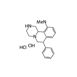 CNc1cccc2c1C1CNCCN1CC2c1ccccc1.Cl.Cl